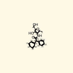 C[C@@H]1O[C@H](CO)[C@H](O)C1NC(=O)C(c1ccccc1)c1ccccc1